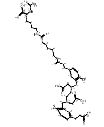 NC(=O)N[C@@H](CCCCNC(=O)CCCCCNC(=O)CCc1ccc(O)c(CN(CCN(CC(=O)O)Cc2cc(CCC(=O)O)ccc2O)CC(=O)O)n1)C(=O)O